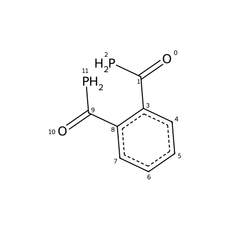 O=C(P)c1ccccc1C(=O)P